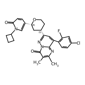 Cc1nc2c(-c3ccc(Cl)cc3F)cc([C@H]3CCO[C@@H](c4ccc(=O)n(C5CCC5)c4)C3)nn2c(=O)c1C